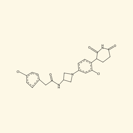 O=C1CCC(c2ccc(N3CC(NC(=O)Cc4ccc(Cl)cc4)C3)cc2Cl)C(=O)N1